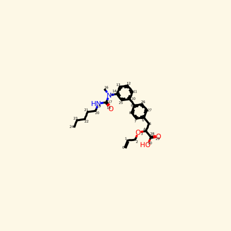 C=CCOC(Cc1ccc(-c2cccc(N(C)C(=O)NCCCCC)c2)cc1)C(=O)O